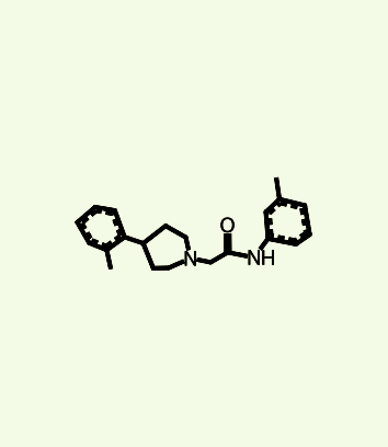 Cc1cccc(NC(=O)CN2CCC(c3ccccc3C)CC2)c1